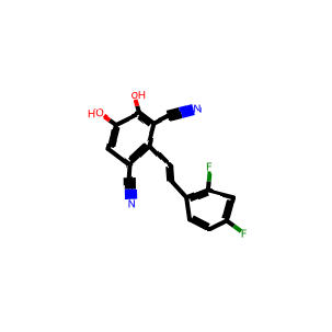 N#Cc1cc(O)c(O)c(C#N)c1C=Cc1ccc(F)cc1F